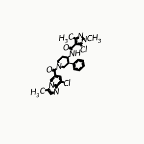 Cc1nn(C)c(Cl)c1C(=O)N[C@@H]1CCN(C(=O)c2cc(Cl)c3ncc(C)n3c2)C[C@@H]1c1ccccc1